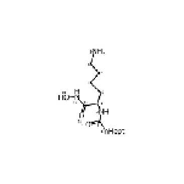 CCCCCCCC(=O)NC(CCCCN)C(=O)NO